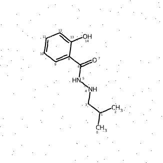 CC(C)CNNC(=O)c1ccccc1O